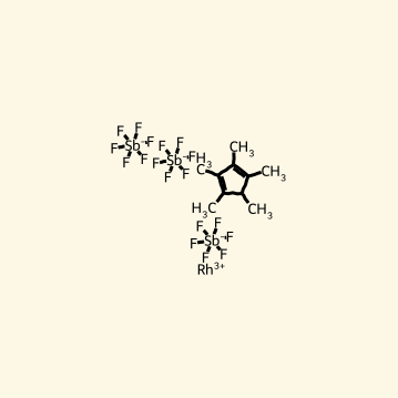 CC1=C(C)C(C)C(C)=C1C.[F][Sb-]([F])([F])([F])([F])[F].[F][Sb-]([F])([F])([F])([F])[F].[F][Sb-]([F])([F])([F])([F])[F].[Rh+3]